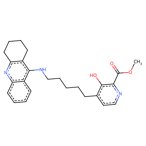 COC(=O)c1nccc(CCCCCNc2c3c(nc4ccccc24)CCCC3)c1O